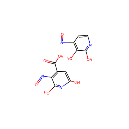 O=Nc1c(C(=O)O)cc(O)nc1O.O=Nc1ccnc(O)c1O